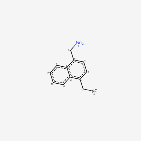 [C-]#[N+]Cc1ccc(CN)c2ccccc12